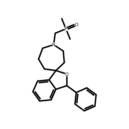 CP(C)(=O)CN1CCCC2(CC1)OC(c1ccccc1)c1ccccc12